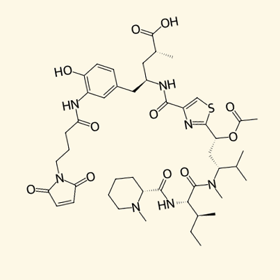 CC[C@H](C)[C@H](NC(=O)[C@H]1CCCCN1C)C(=O)N(C)[C@H](C[C@@H](OC(C)=O)c1nc(C(=O)N[C@@H](Cc2ccc(O)c(NC(=O)CCCN3C(=O)C=CC3=O)c2)C[C@@H](C)C(=O)O)cs1)C(C)C